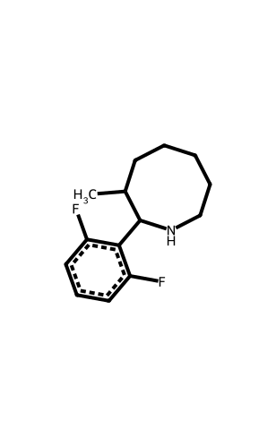 CC1CCCCCNC1c1c(F)cccc1F